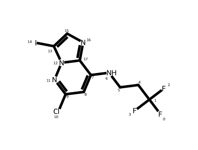 FC(F)(F)CCNc1cc(Cl)nn2c(I)cnc12